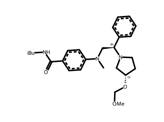 CCC(C)NC(=O)c1ccc(N(C)C[C@@H](c2ccccc2)N2CC[C@H](OCOC)C2)cc1